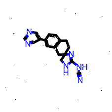 N#CNC1=NC2(CCc3ccc(-c4cncnc4)cc3C2)CN1